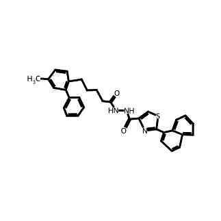 Cc1ccc(CCCCC(=O)NNC(=O)c2csc(-c3cccc4ccccc34)n2)c(-c2ccccc2)c1